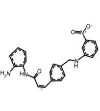 Nc1ccccc1NC(=O)/C=C\c1ccc(CNc2cccc([N+](=O)[O-])c2)cc1